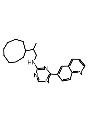 CC(CNc1ncnc(-c2ccc3ncccc3c2)n1)C1CCCCCCCC1